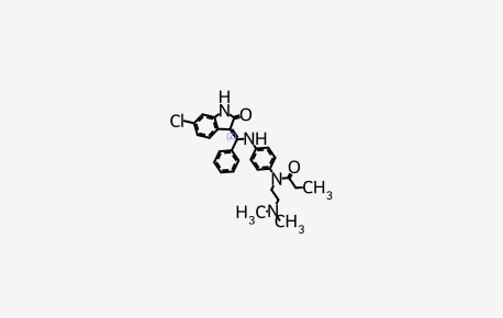 CCC(=O)N(CCN(C)C)c1ccc(N/C(=C2\C(=O)Nc3cc(Cl)ccc32)c2ccccc2)cc1